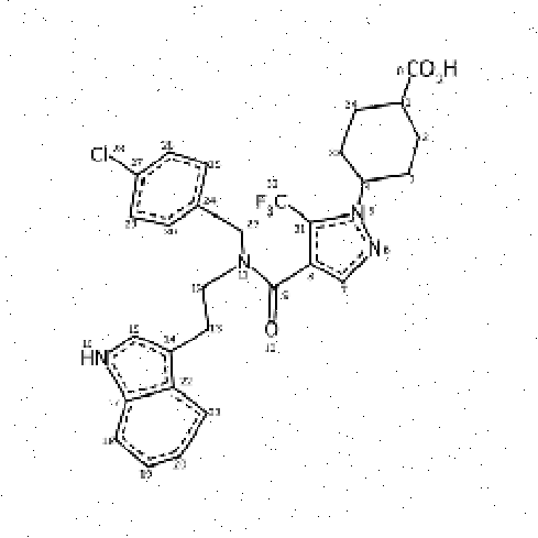 O=C(O)C1CCC(n2ncc(C(=O)N(CCc3c[nH]c4ccccc34)Cc3ccc(Cl)cc3)c2C(F)(F)F)CC1